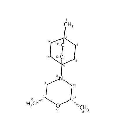 C[C@@H]1CN(C23CCC(C)(CC2)CC3)C[C@H](C)O1